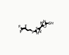 FC(F)=C(F)CCSc1nnc(-c2nnc(S)o2)s1